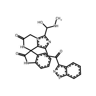 CNC(O)c1nc(NC(=O)c2nsc3ccccc23)c2n1CC(=O)NC21C(=O)Nc2ccccc21